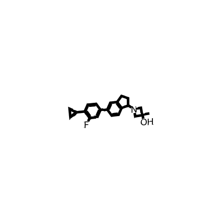 CC1(O)CN(C2CCc3cc(-c4ccc(C5CC5)c(F)c4)ccc32)C1